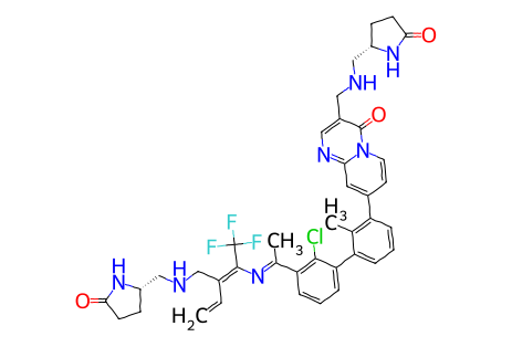 C=C/C(CNC[C@@H]1CCC(=O)N1)=C(\N=C(/C)c1cccc(-c2cccc(-c3ccn4c(=O)c(CNC[C@@H]5CCC(=O)N5)cnc4c3)c2C)c1Cl)C(F)(F)F